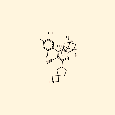 CC1(C)[C@H]2Cc3c(nc(N4CCC5(CNC5)C4)c(C#N)c3-c3cc(O)c(F)cc3Cl)[C@@H]1C2